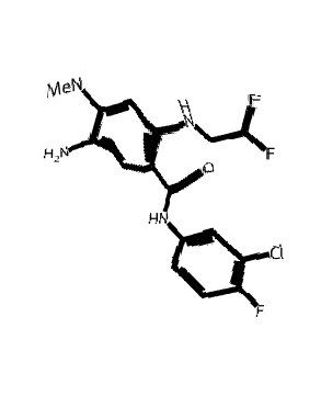 CNc1cc(NCC(F)F)c(C(=O)Nc2ccc(F)c(Cl)c2)cc1N